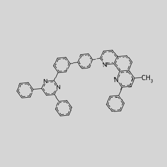 Cc1cc(-c2ccccc2)nc2c1ccc1ccc(-c3ccc(-c4cccc(-c5nc(-c6ccccc6)cc(-c6ccccc6)n5)c4)cc3)nc12